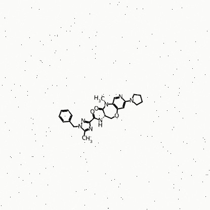 Cc1nc(C(=O)N[C@H]2COc3cc(N4CCCC4)ncc3N(C)C2=O)nn1Cc1ccccc1